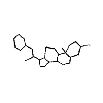 CC(CC1CCCCC1)C1CCC2C1CCC1C2CCC2CC(S)CCC21C